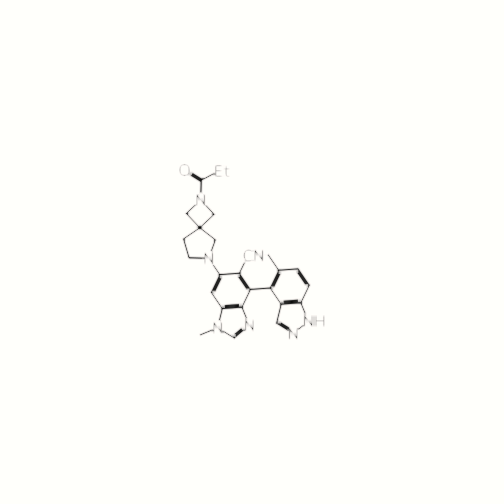 CCC(=O)N1CC2(CCN(c3cc4c(ncn4C)c(-c4c(C)ccc5[nH]ncc45)c3C#N)C2)C1